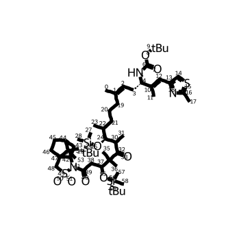 C/C(=C/C[C@H](NC(=O)OC(C)(C)C)/C(C)=C/c1csc(C)n1)CCCC(C)[C@H](O[Si](C)(C)C(C)(C)C)C(C)C(=O)C(C)(C)C(CC(=O)N1C2CC3CCC2(CS1(=O)=O)C3(C)C)O[Si](C)(C)C(C)(C)C